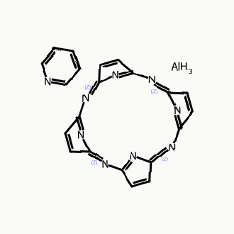 C1=C/C2=N/C3=NC(=N\C4=NC(=N\C5=NC(=N\C1=N2)/C=C5)/C=C4)/C=C3.[AlH3].c1ccncc1